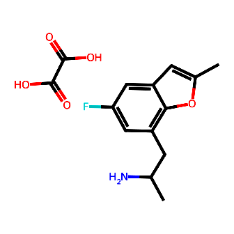 Cc1cc2cc(F)cc(CC(C)N)c2o1.O=C(O)C(=O)O